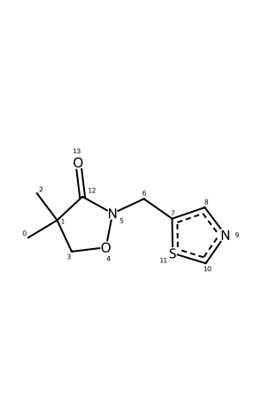 CC1(C)CON(Cc2cncs2)C1=O